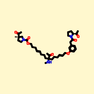 CNC(CCC/C=C/CCCOC(=O)N1CC[C@@](C)(C(C)=O)C1)(CCC/C=C/COc1cccc(CC(=O)N2CCC[C@H]2C(C)=O)c1)C(C)=O